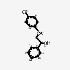 OC(C[Se]c1ccc(Cl)cc1)c1ccccc1